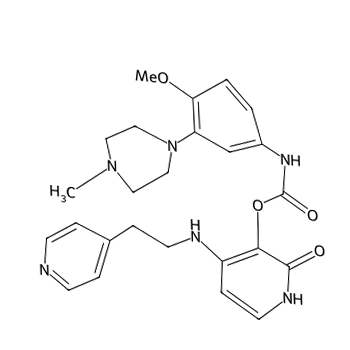 COc1ccc(NC(=O)Oc2c(NCCc3ccncc3)cc[nH]c2=O)cc1N1CCN(C)CC1